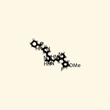 COc1cc(F)cc(-c2ccnc3[nH]c(-c4n[nH]c5cnc(-c6cncc(NC(=O)C7CCCCC7)c6)cc45)cc23)c1